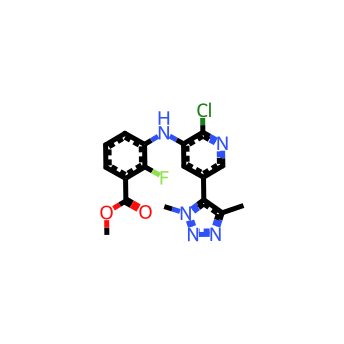 COC(=O)c1cccc(Nc2cc(-c3c(C)nnn3C)cnc2Cl)c1F